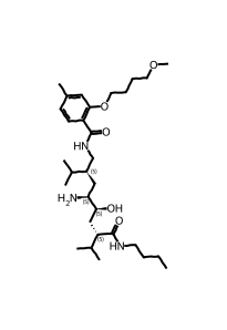 CCCCNC(=O)[C@@H](C[C@H](O)[C@@H](N)C[C@H](CNC(=O)c1ccc(C)cc1OCCCCOC)C(C)C)C(C)C